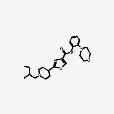 CCC(C)CN1CCC(c2nc(C(=O)Nc3ccccc3N3CCOCC3)cs2)CC1